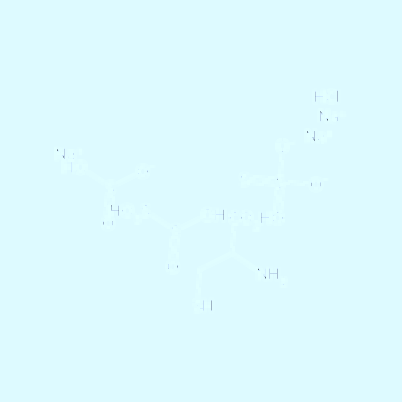 Cl.NC(CS)C(=O)O.O=S(O)S(=O)(=O)O.O=S([O-])([O-])=S.O=S([O-])O.[Na+].[Na+].[Na+]